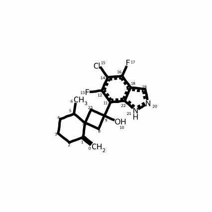 C=C1CCCC(C)C12CC(O)(c1c(F)c(Cl)c(F)c3cn[nH]c13)C2